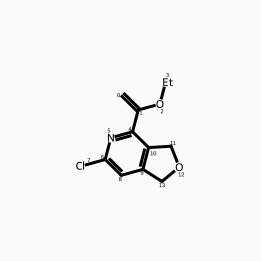 C=C(OCC)c1nc(Cl)cc2c1COC2